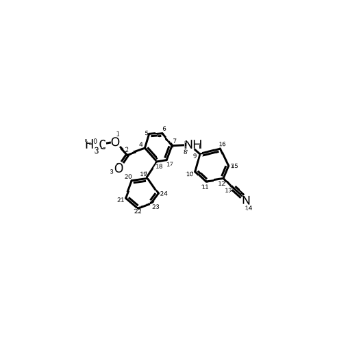 COC(=O)c1ccc(Nc2ccc(C#N)cc2)cc1-c1ccccc1